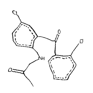 CC(=O)Nc1ccc(Cl)cc1C(=O)c1ccccc1Cl